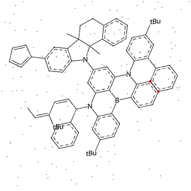 C/C=C(\C=C/C(c1ccccc1)N1c2cc(C(C)(C)C)ccc2B2c3ccccc3N(c3ccc(C(C)(C)C)cc3-c3ccccc3)c3cc(N4c5ccc(C6=C=CC=C6)cc5C5(C)CCc6ccccc6C45C)cc1c32)C(C)(C)C